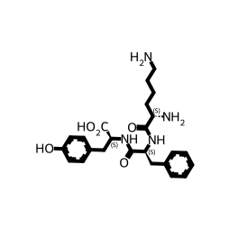 NCCCC[C@H](N)C(=O)N[C@@H](Cc1ccccc1)C(=O)N[C@@H](Cc1ccc(O)cc1)C(=O)O